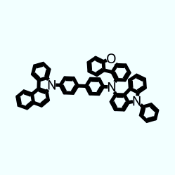 c1ccc(-n2c3ccccc3c3c(N(c4ccc(-c5ccc(-n6c7ccccc7c7c8ccccc8ccc76)cc5)cc4)c4cccc5oc6ccccc6c45)cccc32)cc1